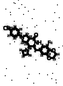 O=C1NC(Cc2cc(F)c3c(c2)OCCO3)C(N2CCC2)C2CN(c3ccc(Cl)cc3)CC12